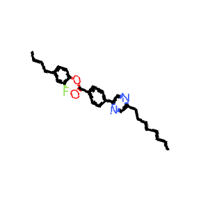 CCCCCCCCc1cnc(-c2ccc(C(=O)Oc3ccc(CCCC)cc3F)cc2)cn1